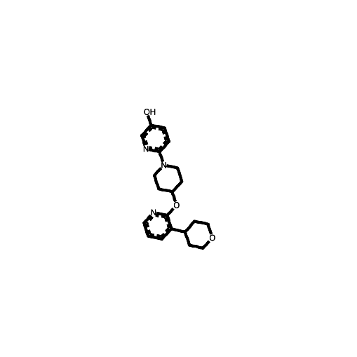 Oc1ccc(N2CCC(Oc3ncccc3C3CCOCC3)CC2)nc1